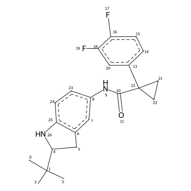 CC(C)(C)C1Cc2cc(NC(=O)C3(c4ccc(F)c(F)c4)CC3)ccc2N1